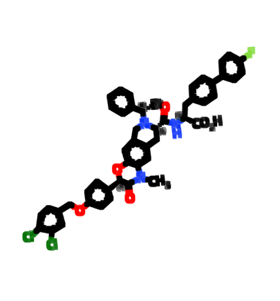 CC[C@@H](c1ccccc1)N1Cc2cc3c(cc2C[C@H]1C(=O)N[C@@H](Cc1ccc(-c2ccc(F)cc2)cc1)C(=O)O)N(C)C(=O)[C@@H](c1ccc(OCc2ccc(Cl)c(Cl)c2)cc1)O3